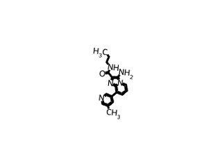 CCCNC(=O)c1nc2c(-c3cncc(C)c3)cccn2c1N